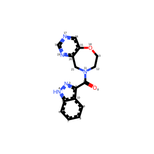 O=C(c1n[nH]c2ccccc12)N1CCOc2cncnc2C1